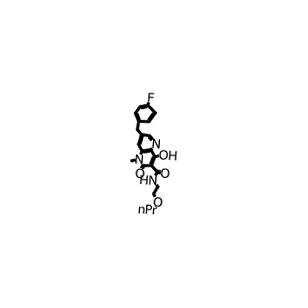 CCCOCCNC(=O)c1c(O)c2ncc(Cc3ccc(F)cc3)cc2n(C)c1=O